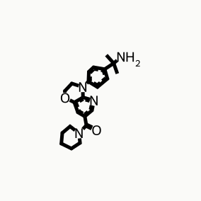 CC(C)(N)c1ccc(N2CCOc3cc(C(=O)N4CCCCC4)cnc32)cc1